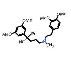 COc1cc(OC)cc([C@](C#N)(CCCN(C)CCc2ccc(OC)c(OC)c2)C(C)C)c1